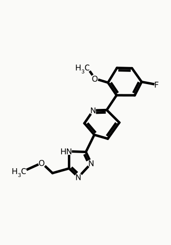 COCc1nnc(-c2ccc(-c3cc(F)ccc3OC)nc2)[nH]1